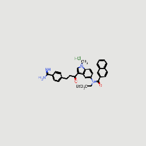 CCOC(=O)CN(C(=O)c1ccc2ccccc2c1)c1ccc2c(c1)c(C(=O)CCc1ccc(C(=N)N)cc1)cn2C.Cl